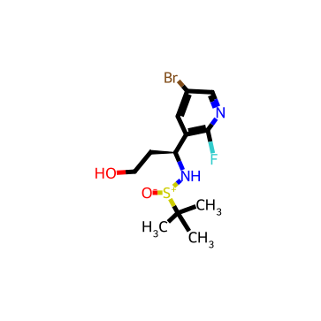 CC(C)(C)[S+]([O-])N[C@@H](CCO)c1cc(Br)cnc1F